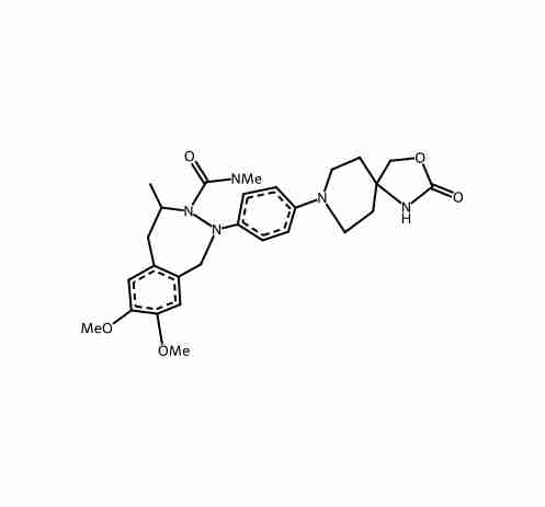 CNC(=O)N1C(C)Cc2cc(OC)c(OC)cc2CN1c1ccc(N2CCC3(CC2)COC(=O)N3)cc1